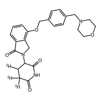 [2H]C1C(N2Cc3c(OCc4ccc(CN5CCOCC5)cc4)cccc3C2=O)C(=O)NC(=O)C1([2H])[2H]